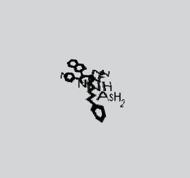 [AsH2]C(CNc1nc(-c2ccncc2)c(-c2ccc3ccccc3c2)c2nncn12)Cc1ccccc1